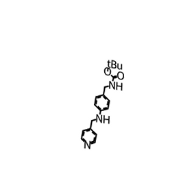 CC(C)(C)OC(=O)NCc1ccc(NCc2ccncc2)cc1